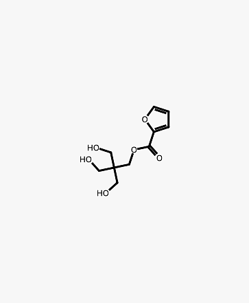 O=C(OCC(CO)(CO)CO)c1ccco1